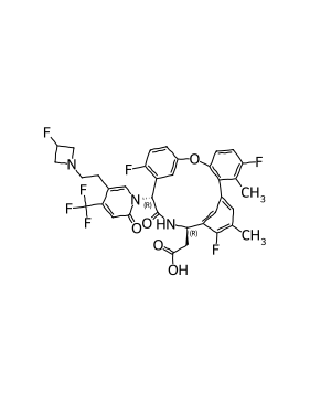 Cc1cc2cc(c1F)[C@@H](CC(=O)O)NC(=O)[C@H](n1cc(CCN3CC(F)C3)c(C(F)(F)F)cc1=O)c1cc(ccc1F)Oc1ccc(F)c(C)c1-2